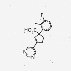 Cc1c(F)cccc1C1(C(=O)O)C=C(c2cncnc2)CC1